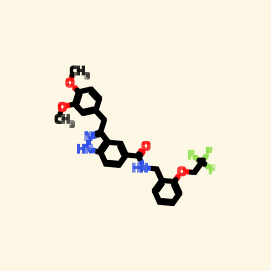 COc1ccc(Cc2n[nH]c3ccc(C(=O)NCc4ccccc4OCC(F)(F)F)cc23)cc1OC